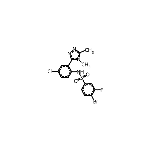 Cc1nnc(-c2cc(Cl)ccc2NS(=O)(=O)c2ccc(Br)c(F)c2)n1C